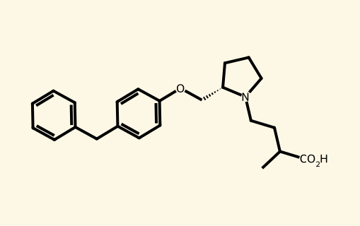 CC(CCN1CCC[C@H]1COc1ccc(Cc2ccccc2)cc1)C(=O)O